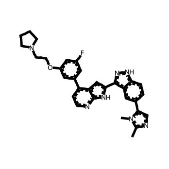 Cc1ncc(-c2ccc3[nH]nc(-c4cc5c(-c6cc(F)cc(OCCN7CCCC7)c6)ccnc5[nH]4)c3c2)n1C